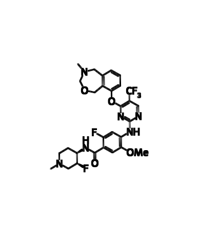 COc1cc(C(=O)N[C@@H]2CCN(C)C[C@@H]2F)c(F)cc1Nc1ncc(C(F)(F)F)c(Oc2cccc3c2COCN(C)C3)n1